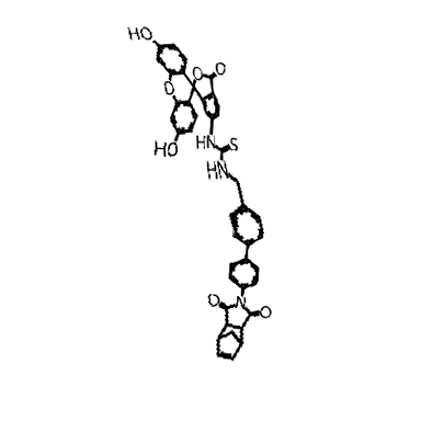 O=C1OC2(c3ccc(O)cc3Oc3cc(O)ccc32)c2cc(NC(=S)NCc3ccc(-c4ccc(N5C(=O)C6C7C=CC(C7)C6C5=O)cc4)cc3)ccc21